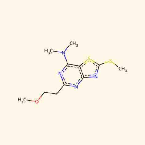 COCCc1nc(N(C)C)c2sc(SC)nc2n1